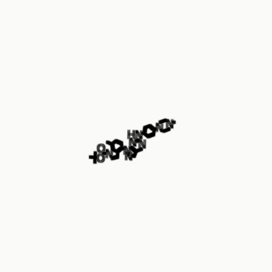 Cc1ccc(-n2ncc3cnc(Nc4ccc(N5CCN(C)CC5)cc4)nc32)c2ccn(C(=O)OC(C)(C)C)c12